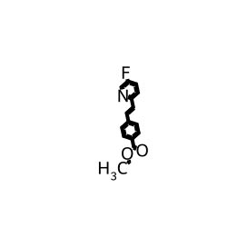 CCOC(=O)c1ccc(/C=C/c2ccc(F)cn2)cc1